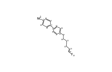 N#Cc1ccc(-c2ccc(CCCCC=CF)cc2)cc1